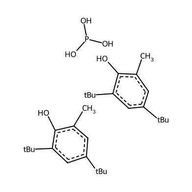 Cc1cc(C(C)(C)C)cc(C(C)(C)C)c1O.Cc1cc(C(C)(C)C)cc(C(C)(C)C)c1O.OP(O)O